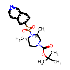 C[C@H]1CCN(C(=O)OC(C)(C)C)C[C@H](C)N1S(=O)(=O)c1ccc2cnccc2c1